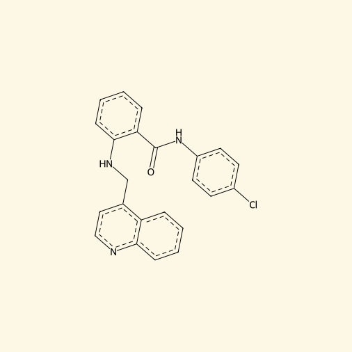 O=C(Nc1ccc(Cl)cc1)c1ccccc1NCc1ccnc2ccccc12